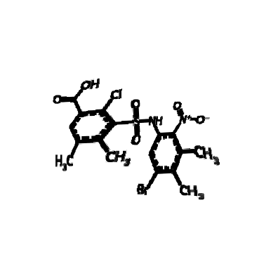 Cc1cc(C(=O)O)c(Cl)c(S(=O)(=O)Nc2cc(Br)c(C)c(C)c2[N+](=O)[O-])c1C